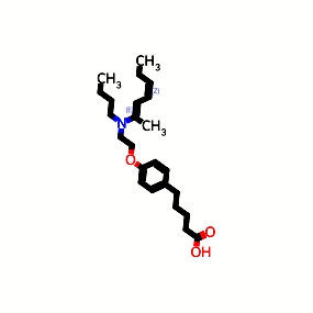 CC/C=C\C=C(/C)N(CCCC)CCOc1ccc(CCCCC(=O)O)cc1